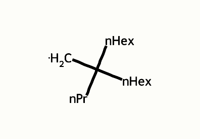 [CH2]C(CCC)(CCCCCC)CCCCCC